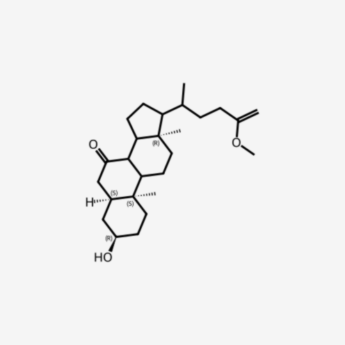 C=C(CCC(C)C1CCC2C3C(=O)C[C@@H]4C[C@H](O)CC[C@]4(C)C3CC[C@]12C)OC